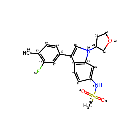 CS(=O)(=O)Nc1ccc2c(-c3ccc(C#N)c(F)c3)cn(C3CCOC3)c2c1